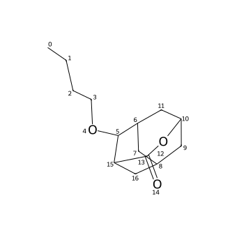 CCCCOC1C2CC3CC(C2)OC(=O)C1C3